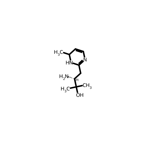 CC1C=CN=C(C[C@@H](N)C(C)(C)O)N1